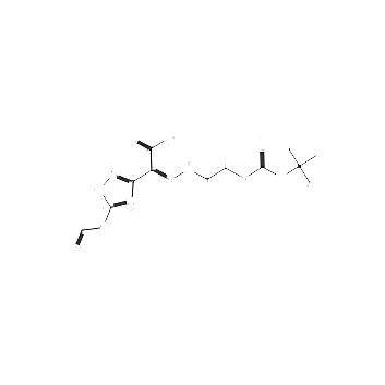 CC(C)(C)OC(=O)NCCO/N=C(\C(=O)O)c1nsc(NC=O)n1